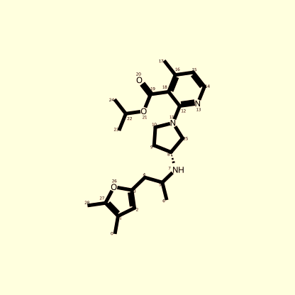 Cc1cc(CC(C)N[C@@H]2CCN(c3nccc(C)c3C(=O)OC(C)C)C2)oc1C